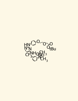 CN(c1cccc(CNc2nc(Nc3ccc(OCCOCC(=O)OC(C)(C)C)cc3)ncc2C(F)(F)F)c1)S(C)(=O)=O